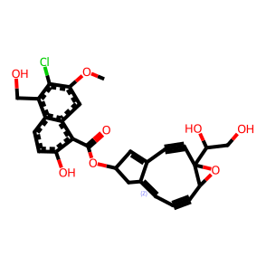 COc1cc2c(C(=O)OC3C=C4C#CC5(C(O)CO)OC5C#C/C=C\4C3)c(O)ccc2c(CO)c1Cl